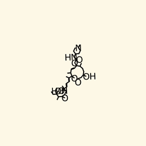 CCC(O)C(C)C1OC1CC(C)(O)/C=C/C=C(\C)C1OC(=O)CC(O)CCC(C)C(OC(=O)NC2CCN(C)CC2)/C=C/C1C